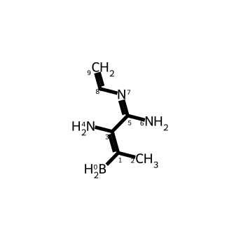 B/C(C)=C(N)/C(N)=N\C=C